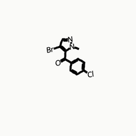 Cn1ncc(Br)c1C(=O)c1ccc(Cl)cc1